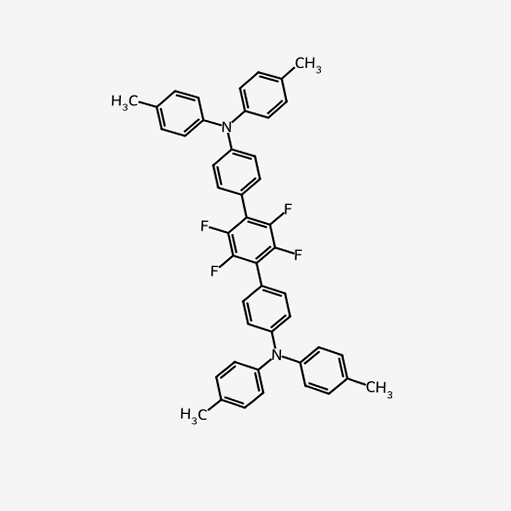 Cc1ccc(N(c2ccc(C)cc2)c2ccc(-c3c(F)c(F)c(-c4ccc(N(c5ccc(C)cc5)c5ccc(C)cc5)cc4)c(F)c3F)cc2)cc1